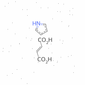 O=C(O)/C=C/C(=O)O.c1cc[nH]c1